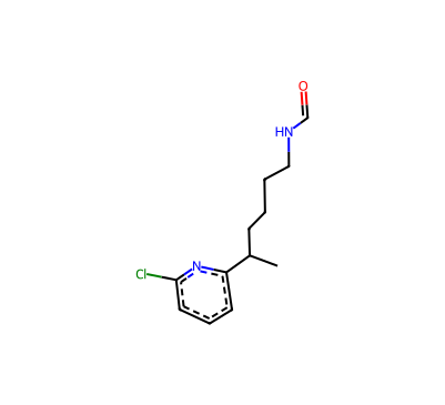 CC(CCCCNC=O)c1cccc(Cl)n1